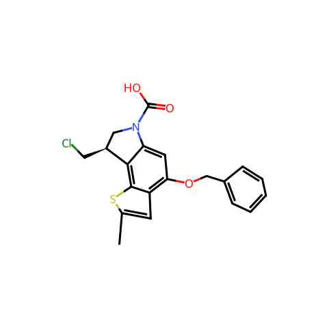 Cc1cc2c(OCc3ccccc3)cc3c(c2s1)[C@@H](CCl)CN3C(=O)O